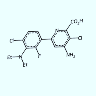 CCN(CC)c1c(Cl)ccc(-c2cc(N)c(Cl)c(C(=O)O)n2)c1F